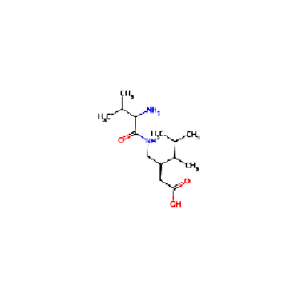 CC(C)C(N)C(=O)NCC(CC(=O)O)C(C)C(C)C